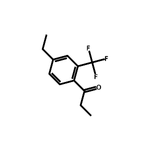 CCC(=O)c1ccc(CC)cc1C(F)(F)F